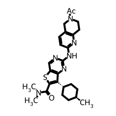 CC(=O)N1CCc2nc(Nc3ncc4sc(C(=O)N(C)C)c([C@H]5CC[C@H](C)CC5)c4n3)ccc2C1